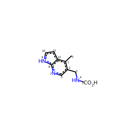 Cc1c(CNC(=O)O)cnc2[nH]ccc12